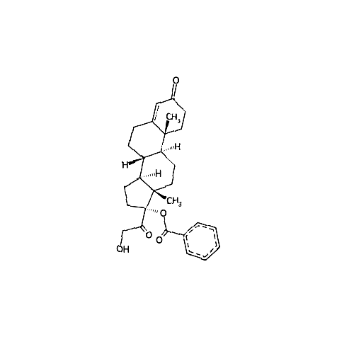 C[C@]12CCC(=O)C=C1CC[C@@H]1[C@@H]2CC[C@@]2(C)[C@H]1CC[C@]2(OC(=O)c1ccccc1)C(=O)CO